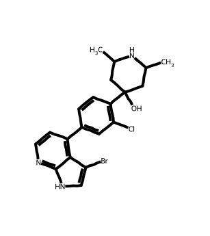 CC1CC(O)(c2ccc(-c3ccnc4[nH]cc(Br)c34)cc2Cl)CC(C)N1